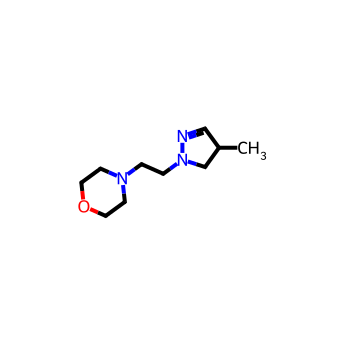 CC1C=NN(CCN2CCOCC2)C1